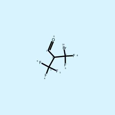 O=CC(C(F)(F)F)C(F)(F)Br